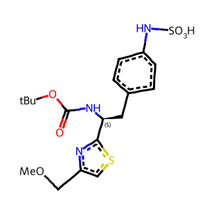 COCc1csc([C@H](Cc2ccc(NS(=O)(=O)O)cc2)NC(=O)OC(C)(C)C)n1